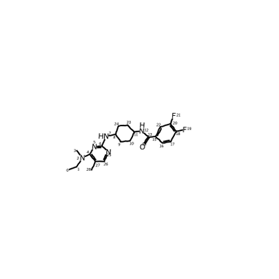 CCN(C)c1nc(NC2CCC(NC(=O)c3ccc(F)c(F)c3)CC2)ncc1C